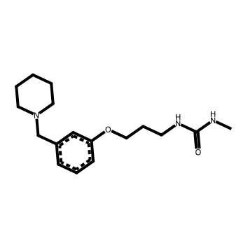 CNC(=O)NCCCOc1cccc(CN2CCCCC2)c1